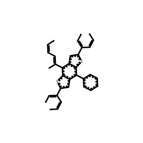 C/C=C\C=C(/C)c1c2cc(C(/C=C\C)=C/C)sc2c(-c2ccccc2)c2cc(C(/C=C\C)=C/C)sc12